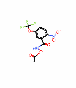 CC(=O)ONC(=O)c1cc(OC(F)(F)F)ccc1[N+](=O)[O-]